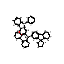 c1ccc(-c2ccccc2N(c2ccc3c(c2)C2(CCCC2)c2ccccc2-3)c2ccc3c4ccccc4n(-c4ccccc4)c3c2)cc1